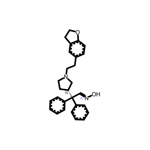 O/N=C/C(c1ccccc1)(c1ccccc1)[C@@H]1CCN(CCc2ccc3c(c2)CCO3)C1